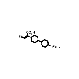 CCC=C(C(=O)O)[C@H]1CC[C@H]([C@H]2CC[C@H](CCCCC)CC2)CC1